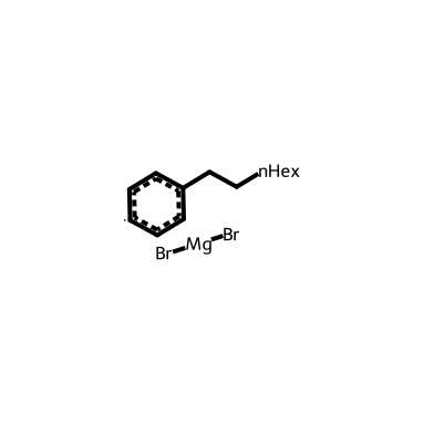 CCCCCCCCc1cc[c]cc1.[Br][Mg][Br]